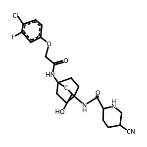 N#CC1CCC(C(=O)NC23CCC(NC(=O)COc4ccc(Cl)c(F)c4)(CC2)CC3O)NC1